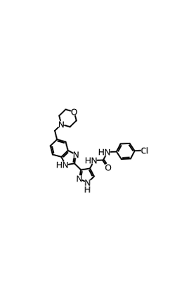 O=C(Nc1ccc(Cl)cc1)Nc1c[nH]nc1-c1nc2cc(CN3CCOCC3)ccc2[nH]1